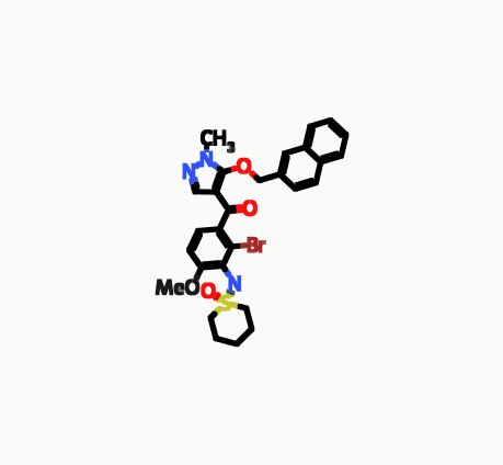 COc1ccc(C(=O)c2cnn(C)c2OCc2ccc3ccccc3c2)c(Br)c1N=S1(=O)CCCCC1